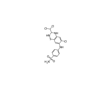 NS(=O)(=O)c1ccc(Nc2cc3c(cc2Cl)NC(C(Cl)Cl)NS3)cc1